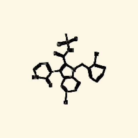 CS(=O)(=O)NC(=O)c1c(-c2ccc[nH]c2=O)c2cc(Cl)ccc2n1Cc1ccccc1Br